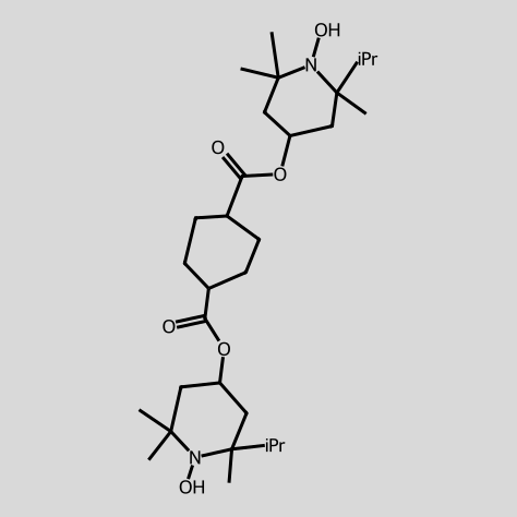 CC(C)C1(C)CC(OC(=O)C2CCC(C(=O)OC3CC(C)(C)N(O)C(C)(C(C)C)C3)CC2)CC(C)(C)N1O